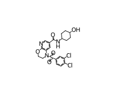 O=C(NC1CCC(O)CC1)c1cnc2c(c1)N(S(=O)(=O)c1ccc(Cl)c(Cl)c1)CCO2